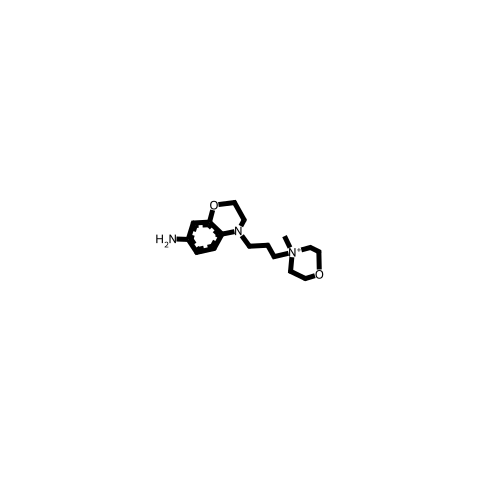 C[N+]1(CCCN2CCOc3cc(N)ccc32)CCOCC1